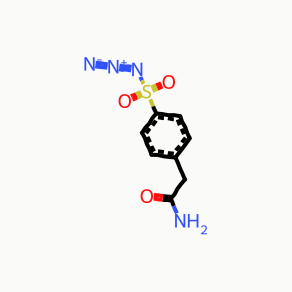 [N-]=[N+]=NS(=O)(=O)c1ccc(CC(N)=O)cc1